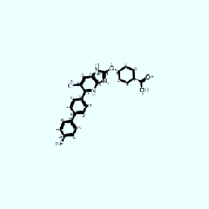 O=C(O)[C@H]1CC[C@H](Oc2nc3nc(-c4ccc(-c5ccc(F)cc5)cc4)c(Cl)cc3[nH]2)CC1